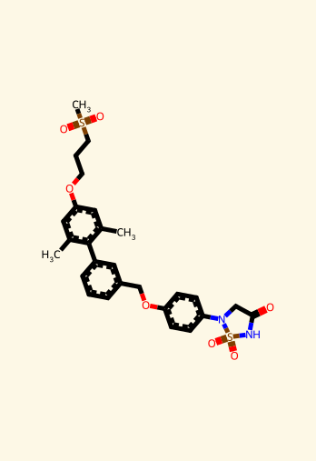 Cc1cc(OCCCS(C)(=O)=O)cc(C)c1-c1cccc(COc2ccc(N3CC(=O)NS3(=O)=O)cc2)c1